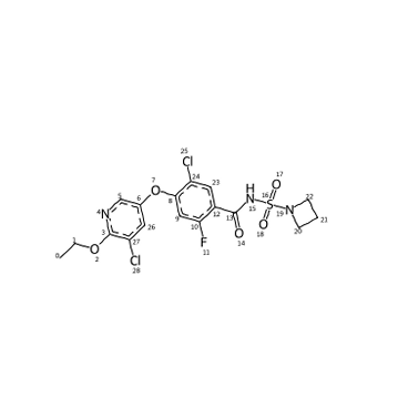 CCOc1ncc(Oc2cc(F)c(C(=O)NS(=O)(=O)N3CCC3)cc2Cl)cc1Cl